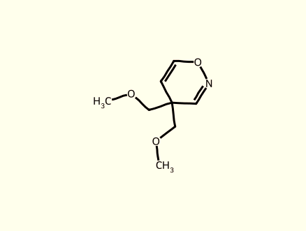 COCC1(COC)C=CON=C1